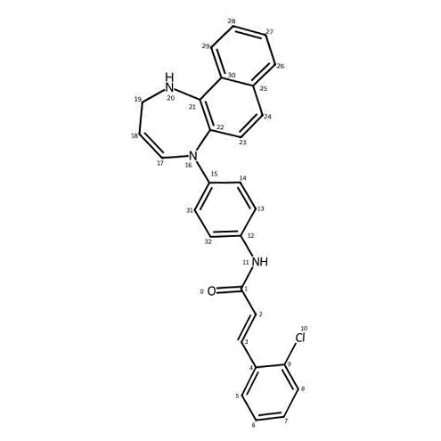 O=C(C=Cc1ccccc1Cl)Nc1ccc(N2C=CCNc3c2ccc2ccccc32)cc1